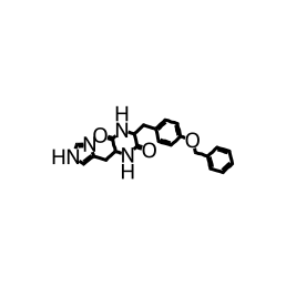 O=C1NC(Cc2c[nH]cn2)C(=O)NC1Cc1ccc(OCc2ccccc2)cc1